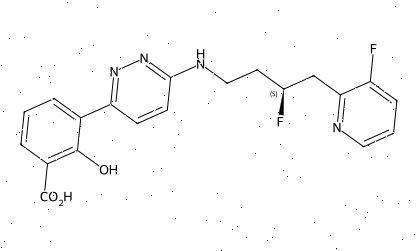 O=C(O)c1cccc(-c2ccc(NCC[C@H](F)Cc3ncccc3F)nn2)c1O